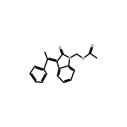 CC(=O)OCN1C(=O)C(=C(C)c2ccccc2)c2ccccc21